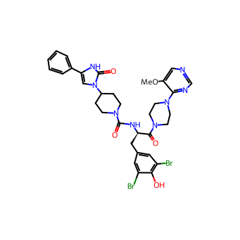 COc1cncnc1N1CCN(C(=O)[C@@H](Cc2cc(Br)c(O)c(Br)c2)NC(=O)N2CCC(n3cc(-c4ccccc4)[nH]c3=O)CC2)CC1